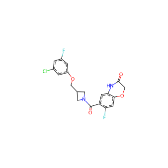 O=C1COc2cc(F)c(C(=O)N3CC(COc4cc(F)cc(Cl)c4)C3)cc2N1